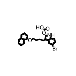 O=C(O)Oc1[nH]c2ccc(Br)cc2c1CCCCOc1cccc2ccccc12